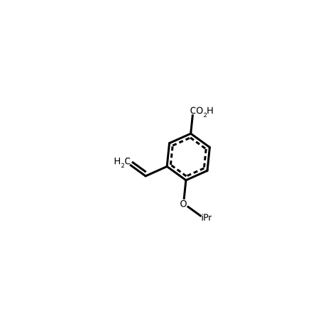 C=Cc1cc(C(=O)O)ccc1OC(C)C